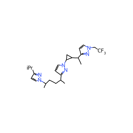 CC(C)c1ccn(C(C)CCC(C)c2ccn(C3CC3C(C)c3ccn(CC(F)(F)F)n3)n2)n1